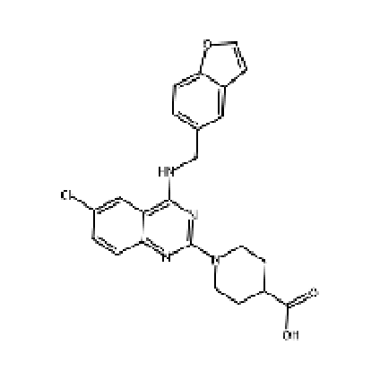 O=C(O)C1CCN(c2nc(NCc3ccc4occc4c3)c3cc(Cl)ccc3n2)CC1